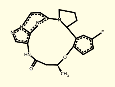 C[C@H]1CC(=O)Nc2cnn3ccc(nc23)N2CCCC2c2cc(F)ccc2O1